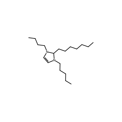 CCCCCCCC1N(CCCC)C=CN1CCCCC